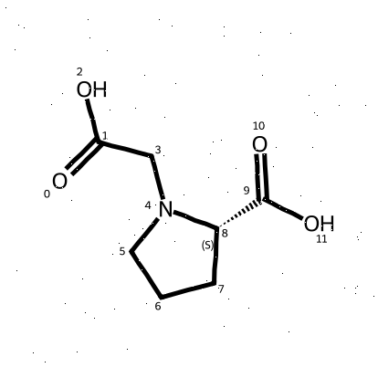 O=C(O)CN1CCC[C@H]1C(=O)O